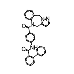 O=C(Nc1ccc(C(=O)N2Cc3ccnn3Cc3ccccc32)cc1)c1ccccc1-c1ccccc1